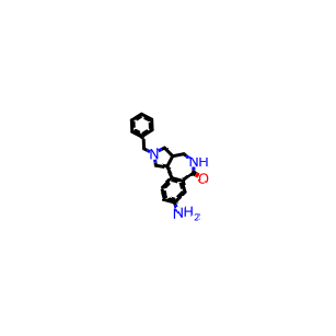 Nc1ccc2c(c1)C(=O)NCC1CN(Cc3ccccc3)CC21